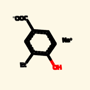 CCc1cc(C(=O)[O-])ccc1O.[Na+]